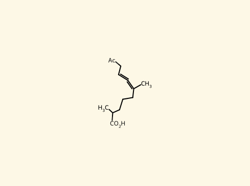 CC(=O)CC=C=C(C)CCCC(C)C(=O)O